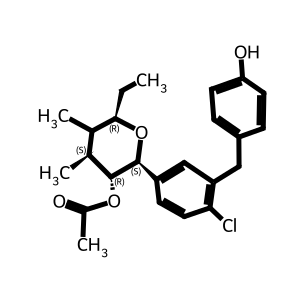 CC[C@H]1O[C@@H](c2ccc(Cl)c(Cc3ccc(O)cc3)c2)[C@H](OC(C)=O)[C@@H](C)C1C